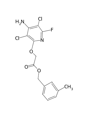 Cc1cccc(COC(=O)COc2nc(F)c(Cl)c(N)c2Cl)c1